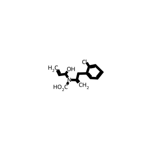 C=CC(O)N(C(=C)Cc1ccccc1Cl)C(=O)O